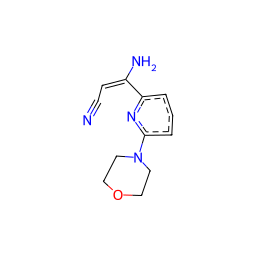 N#C/C=C(/N)c1cccc(N2CCOCC2)n1